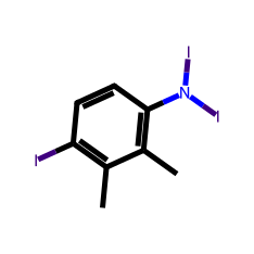 Cc1c(I)ccc(N(I)I)c1C